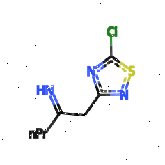 CCCC(=N)Cc1nsc(Cl)n1